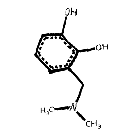 CN(C)Cc1cccc(O)c1O